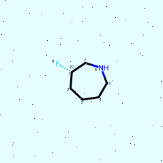 F[C@H]1CCCCNC1